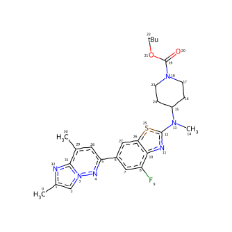 Cc1cn2nc(-c3cc(F)c4nc(N(C)C5CCN(C(=O)OC(C)(C)C)CC5)sc4c3)cc(C)c2n1